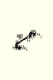 CN(C)S(=O)(=O)Nc1cc(C(=O)CNCCCCCCCCNCC(=O)c2ccc(O)c(NS(=O)(=O)N(C)C)c2)ccc1O.Cl.Cl